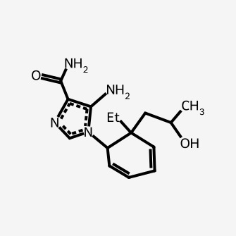 CCC1(CC(C)O)C=CC=CC1n1cnc(C(N)=O)c1N